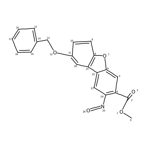 COC(=O)c1cc2oc3ccc(OCc4ccccc4)cc3c2cc1N=O